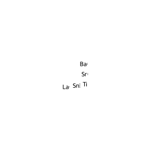 [Ba].[La].[Sn].[Sr].[Ti]